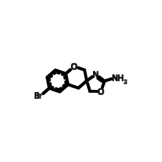 NC1=NC2(CO1)COc1ccc(Br)cc1C2